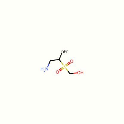 CCCC(CN)S(=O)(=O)CO